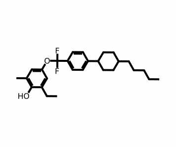 CCCCCC1CCC(c2ccc(C(F)(F)Oc3cc(C)c(O)c(CC)c3)cc2)CC1